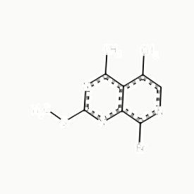 CSc1nc(C)c2c(C)cnc(Br)c2n1